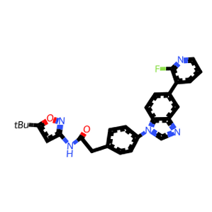 CC(C)(C)c1cc(NC(=O)Cc2ccc(-n3cnc4cc(-c5cccnc5F)ccc43)cc2)no1